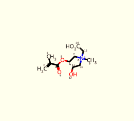 C=C(C)C(=O)OCC[N+](C)(CCO)CC(=O)O